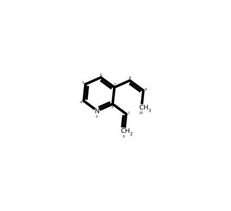 C=Cc1ncccc1/C=C\C